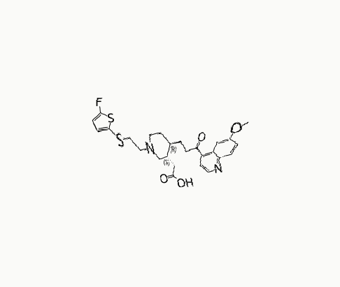 COc1ccc2nccc(C(=O)CC[C@@H]3CCN(CCSc4ccc(F)s4)C[C@H]3CC(=O)O)c2c1